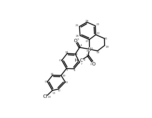 CC(=O)[N+]1(C(=O)c2ccc(-c3ccc(Cl)cc3)cc2)CCCc2ccccc21